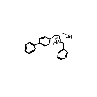 OC[C@@H](Cc1ccc(-c2ccccc2)cc1)NCc1ccccc1